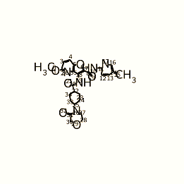 COc1ccc2oc(C(=O)Nc3ccc(C)cn3)c(NC(=O)[C@H]3CC[C@H](N4CCOCC4=O)CC3)c2n1